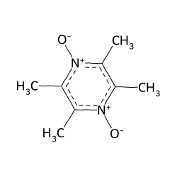 Cc1c(C)[n+]([O-])c(C)c(C)[n+]1[O-]